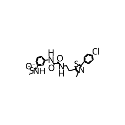 Cc1nc(-c2ccc(Cl)cc2)sc1CCNC(=O)C(=O)Nc1cccc(N[S+](C)[O-])c1